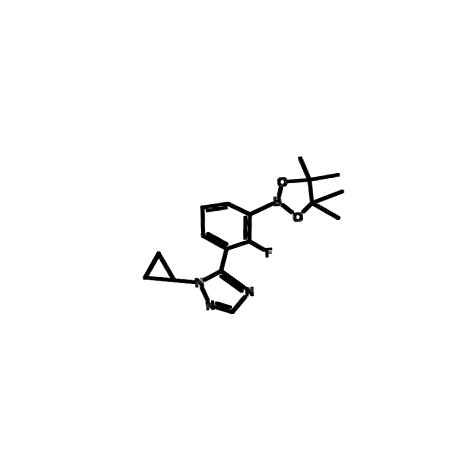 CC1(C)OB(c2cccc(-c3ncnn3C3CC3)c2F)OC1(C)C